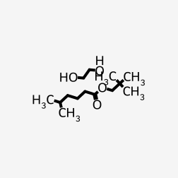 CC(C)CCCC(=O)OCC(C)(C)C.OCCO